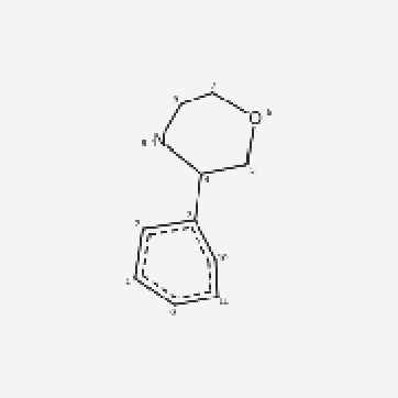 c1ccc(C2COCC[N]2)cc1